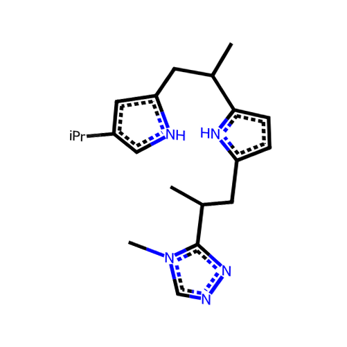 CC(C)c1c[nH]c(CC(C)c2ccc(CC(C)c3nncn3C)[nH]2)c1